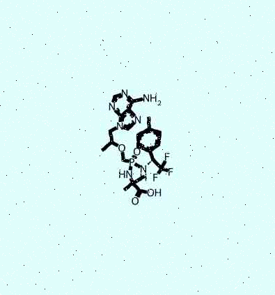 Cc1ccc([C@@H](NP(=O)(COC(C)Cn2cnc3c(N)ncnc32)NC(C)(C)C(=O)O)C(F)(F)F)cc1